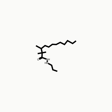 CCCCCCCCCC(C)C(C)(C)C(=O)NNCCC